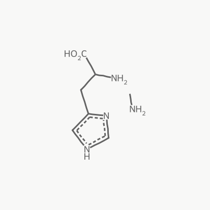 CN.NC(Cc1c[nH]cn1)C(=O)O